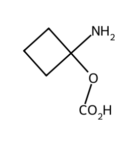 NC1(OC(=O)O)CCC1